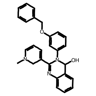 CN1C=CC=C(C2=Nc3ccccc3C(O)N2c2cccc(OCc3ccccc3)c2)C1